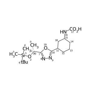 C[C@@H](O[Si](C)(C)C(C)(C)C)c1nnc(C2CCCC(NC(=O)O)C2)o1